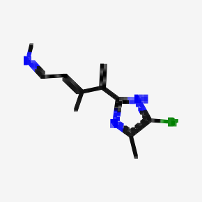 C=C(/C(C)=C/C=N\C)c1nc(C)c(Br)[nH]1